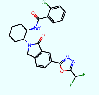 O=C(N[C@@H]1CCCC[C@H]1N1Cc2ccc(-c3nnc(C(F)F)o3)cc2C1=O)c1ccccc1Cl